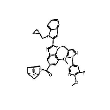 COc1ncc(-n2cc(Cn3c(-c4cc5ccccc5n4CC4CC4)nc4cc(C(=O)N5CC6CC7CC5[C@H]76)cc(OC)c43)cn2)cc1F